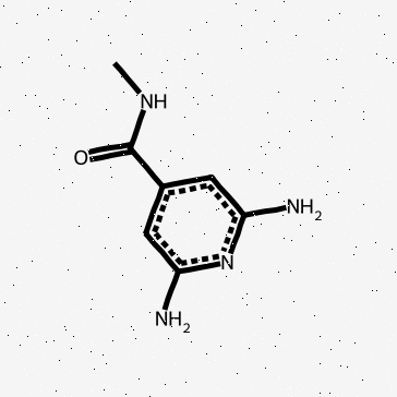 CNC(=O)c1cc(N)nc(N)c1